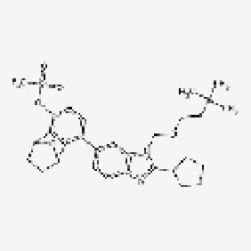 C[Si](C)(C)CCOCn1c(C2CCCC2)nc2ccc(-c3ccc(OS(=O)(=O)C(F)(F)F)c4c3C3CCC4O3)cc21